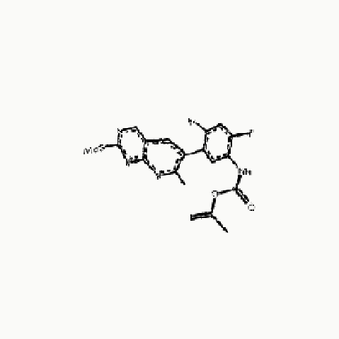 C=C(C)OC(=O)Nc1cc(-c2cc3cnc(SC)nc3nc2C)c(Br)cc1F